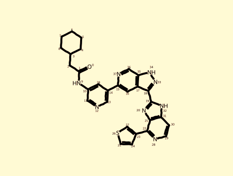 O=C(CC1CCCCC1)Nc1cncc(-c2cc3c(-c4nc5c(-c6ccsc6)nccc5[nH]4)n[nH]c3cn2)c1